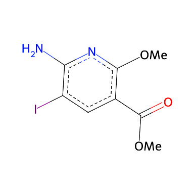 COC(=O)c1cc(I)c(N)nc1OC